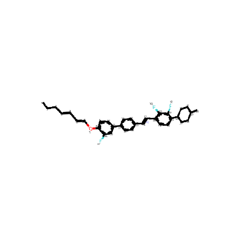 CCCCCCCOc1ccc(-c2ccc(/C=C/c3ccc(C4CCC(C)CC4)c(F)c3F)cc2)cc1F